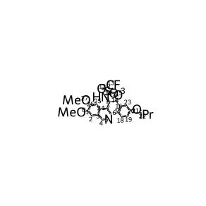 COc1cc2cncc(C(NS(=O)(=O)C(F)(F)F)C(=O)c3cccc(OC(C)C)c3)c2cc1OC